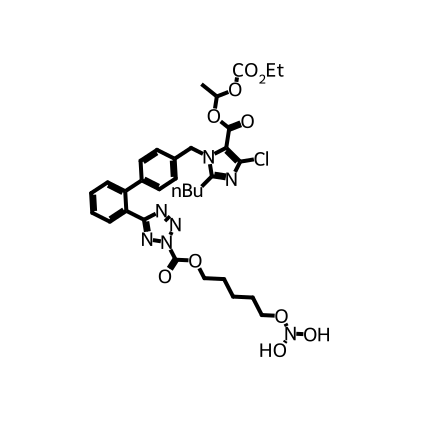 CCCCc1nc(Cl)c(C(=O)OC(C)OC(=O)OCC)n1Cc1ccc(-c2ccccc2-c2nnn(C(=O)OCCCCCON(O)O)n2)cc1